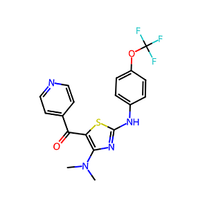 CN(C)c1nc(Nc2ccc(OC(F)(F)F)cc2)sc1C(=O)c1ccncc1